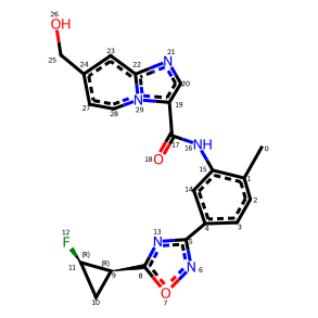 Cc1ccc(-c2noc([C@H]3C[C@H]3F)n2)cc1NC(=O)c1cnc2cc(CO)ccn12